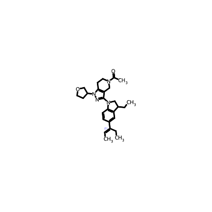 C/C=C(\CC)c1ccc2c(c1)C(CC)CN2c1nn(C2CCOC2)c2c1CN(C(C)=O)CC2